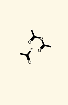 CC(=O)F.CC(=O)OC(C)=O